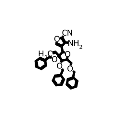 C=CC1(OCc2ccccc2)C(c2coc(C#N)c2N)OC(COCc2ccccc2)C1OCc1ccccc1